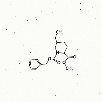 CCC1CCC(C(=O)OC)N(C(=O)OCc2ccccc2)C1